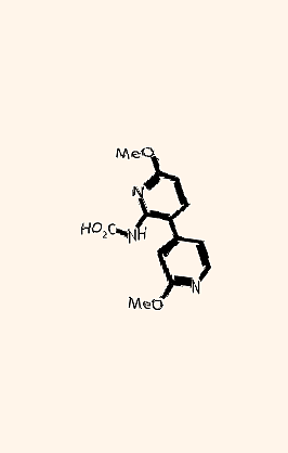 COc1cc(-c2ccc(OC)nc2NC(=O)O)ccn1